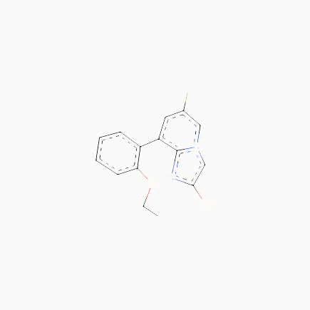 Oc1cn2cc(F)cc(-c3ccccc3OCC(F)(F)F)c2n1